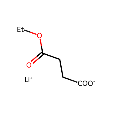 CCOC(=O)CCC(=O)[O-].[Li+]